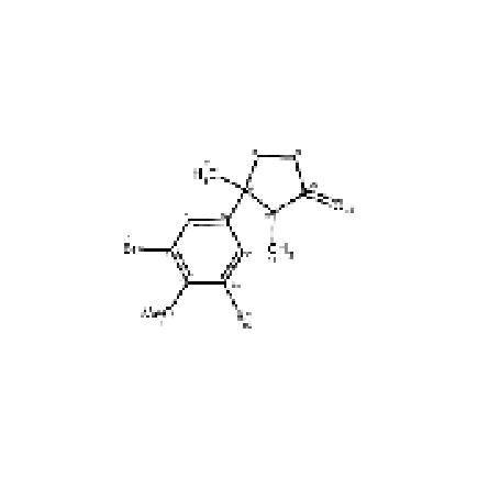 COc1c(Br)cc(C2(C)CCC(=O)C2C)cc1Br